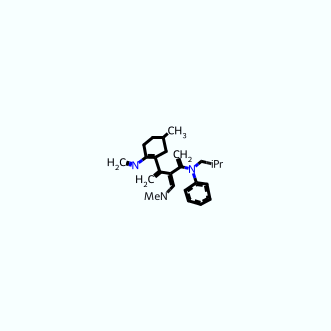 C=NC1=C(C(=C)/C(=C\NC)C(=C)N(CC(C)C)c2ccccc2)CC(C)CC1